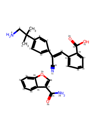 CC(C)(CN)c1ccc(/C(C#N)=C/c2ccccc2C(=O)O)cc1.NC(=O)c1coc2ccccc12